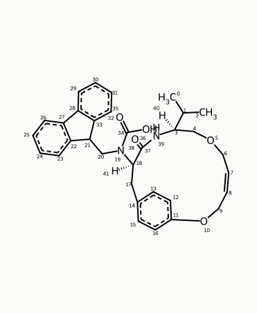 CC(C)[C@H]1COCC=CCOc2ccc(cc2)C[C@@H](N(CC2c3ccccc3-c3ccccc32)C(=O)O)C(=O)N1